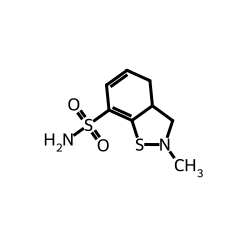 CN1CC2CC=CC(S(N)(=O)=O)=C2S1